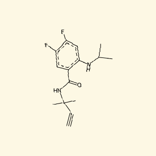 C#CC(C)(C)NC(=O)c1cc(F)c(F)cc1NC(C)C